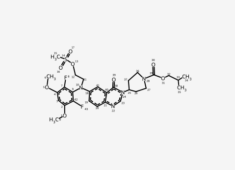 COc1cc(OC)c(F)c(N(CCOS(C)(=O)=O)c2ccc3ncn(C4CCN(C(=O)OCC(C)C)CC4)c(=O)c3c2)c1F